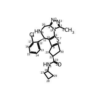 Cc1nnc2n1-c1sc3c(c1[C@@H](c1ccccc1Cl)NC2)C[C@H](C(=O)NC1CCC1)C3